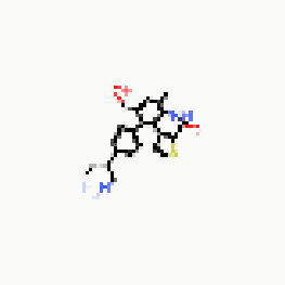 CC[C@@H](CN)c1ccc(-c2c(CO)cc(C)c3[nH]c(=O)c4sccc4c23)cc1